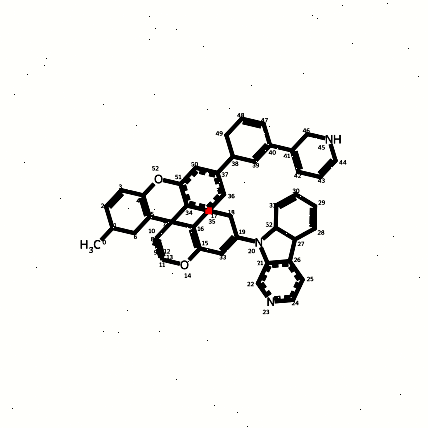 CC1C=CC2=C(C1)C1(C3=CC=CCC3OC3=C1CCC(N1c4cnccc4C4C=CC=CC41)=C3)c1ccc(C3C=C(C4=CC=CNC4)C=CC3)cc1O2